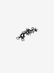 CC(C)(C)OC(=O)C1C[C@H]2NC(c3ccc(Cl)c(Cl)c3)=N[C@@H]2N1